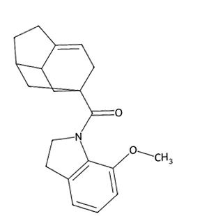 COc1cccc2c1N(C(=O)C13CC=C4CCC(C1)C4C3)CC2